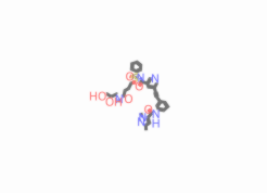 Cc1cc(C(=O)Nc2cccc(C#Cc3cncc(C(=O)N=[S@](=O)(CCCCC(=O)N(C)CC(O)CO)c4ccccc4)c3)c2)n(C)n1